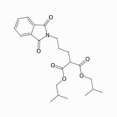 CC(C)COC(=O)C(CCCN1C(=O)c2ccccc2C1=O)C(=O)OCC(C)C